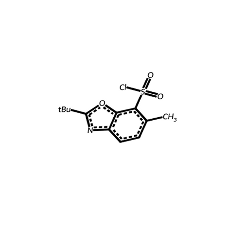 Cc1ccc2nc(C(C)(C)C)oc2c1S(=O)(=O)Cl